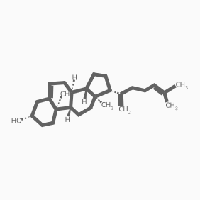 C=C(CCC=C(C)C)[C@H]1CC[C@H]2[C@@H]3CC=C4C[C@@H](O)CC[C@]4(C)[C@H]3CC[C@]12C